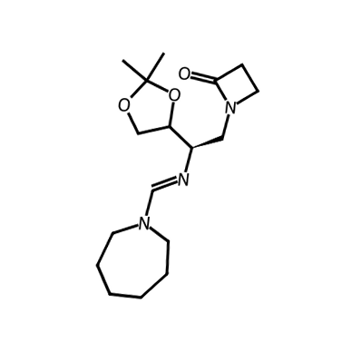 CC1(C)OCC([C@@H](CN2CCC2=O)N=CN2CCCCCC2)O1